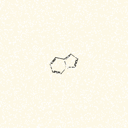 [c]1cccc2cccn12